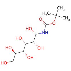 CC(C)(C)OC(=O)NC(O)[C@H](O)[C@@H](O)[C@H](O)[C@H](O)CO